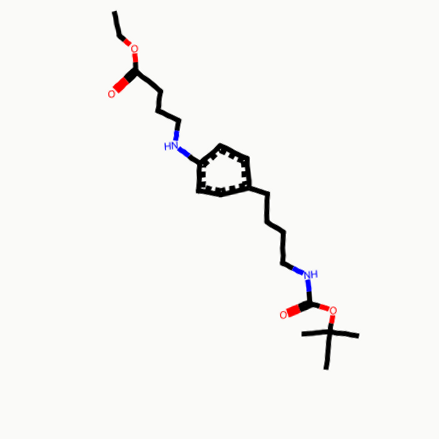 CCOC(=O)CCCNc1ccc(CCCCNC(=O)OC(C)(C)C)cc1